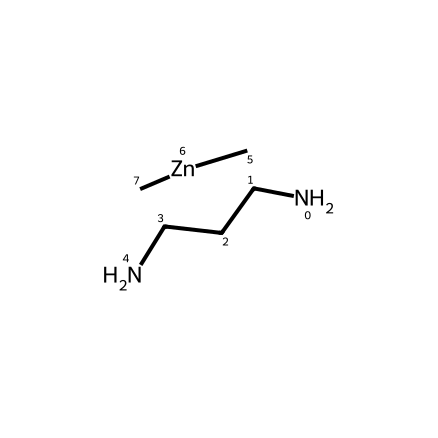 NCCCN.[CH3][Zn][CH3]